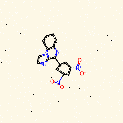 O=[N+]([O-])c1cc(-c2nc3ccccc3n3ccnc23)cc([N+](=O)[O-])c1